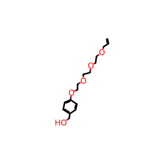 C=CCOCCOCCOCCOc1ccc(CO)cc1